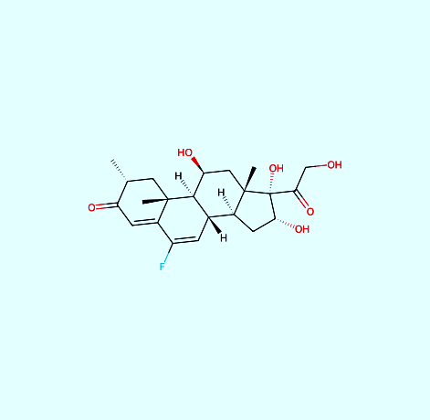 C[C@@H]1C[C@@]2(C)C(=CC1=O)C(F)=C[C@@H]1[C@@H]2[C@@H](O)C[C@@]2(C)[C@H]1C[C@@H](O)[C@]2(O)C(=O)CO